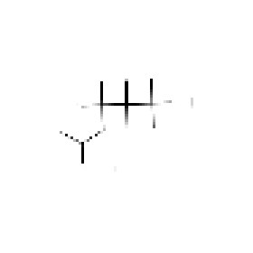 CCCCCC(C)CC(C)(Br)C(C)(C)C(C)(C)O